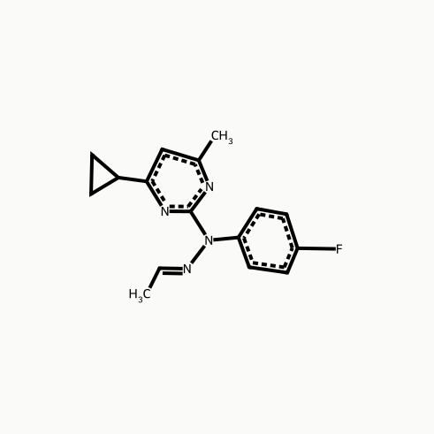 CC=NN(c1ccc(F)cc1)c1nc(C)cc(C2CC2)n1